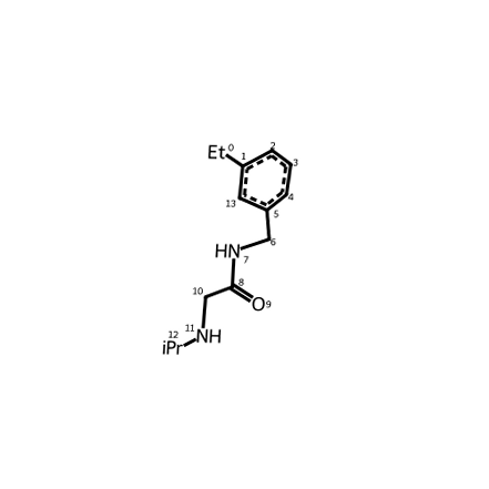 CCc1cccc(CNC(=O)CNC(C)C)c1